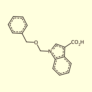 O=C(O)c1cn(COCc2ccccc2)c2ccccc12